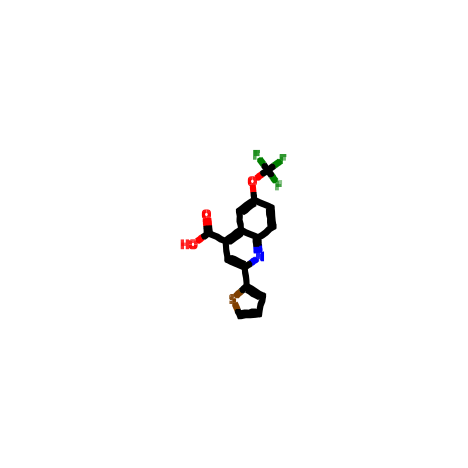 O=C(O)c1cc(-c2cccs2)nc2ccc(OC(F)(F)F)cc12